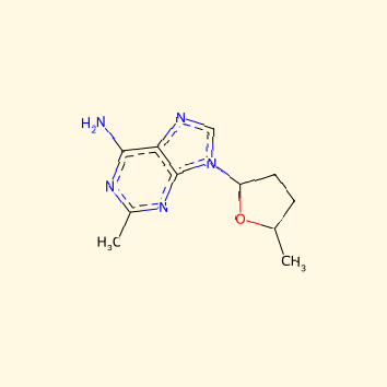 Cc1nc(N)c2ncn(C3CCC(C)O3)c2n1